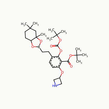 CC1(C)CCC2OB(CCc3ccc(OC4CNC4)c(C(=O)OC(C)(C)C)c3OC(=O)OC(C)(C)C)OC2(C)C1